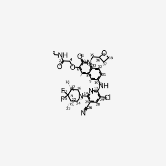 CNC(=O)COc1cc2cc(Nc3nc(N4C[C@@H](C)C(F)(F)[C@@H](C)C4)c(C#N)cc3Cl)ccc2n(CC2CCO2)c1=O